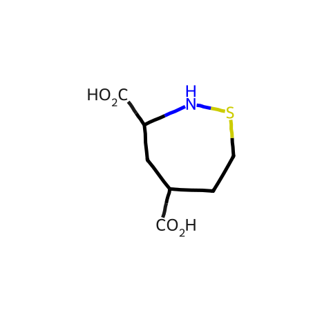 O=C(O)C1CCSNC(C(=O)O)C1